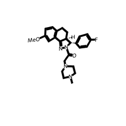 COc1ccc2c(c1)C1=NN(C(=O)CN3CCN(C)CC3)[C@@H](c3ccc(F)cc3)[C@@H]1CC2